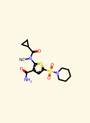 N#CN(C(=O)C1CC1)c1sc(S(=O)(=O)N2CCCCC2)cc1C(N)=O